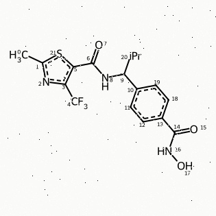 Cc1nc(C(F)(F)F)c(C(=O)NC(c2ccc(C(=O)NO)cc2)C(C)C)s1